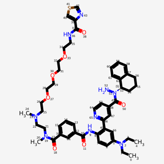 CCN(CC)c1ccc(NC(=O)c2cccc(C(=O)N(C)CCN(C)CCOCCOCCOCCNC(=O)c3cscn3)c2)c(-c2cc(C(=O)N(N)[C@H]3CCCc4ccccc43)ccn2)c1